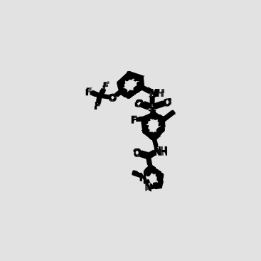 Cc1cc(NC(=O)c2ccnn2C)cc(F)c1S(=O)(=O)Nc1cccc(OC(F)(F)F)c1